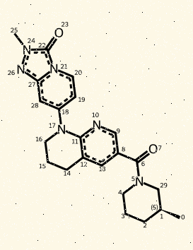 C[C@H]1CCCN(C(=O)c2cnc3c(c2)CCCN3c2ccn3c(=O)n(C)nc3c2)C1